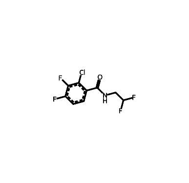 O=C(NCC(F)F)c1ccc(F)c(F)c1Cl